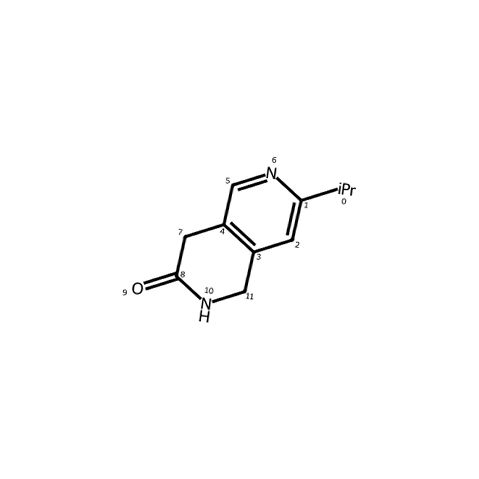 CC(C)c1cc2c(cn1)CC(=O)NC2